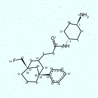 N[C@H]1CC[C@H](NC(=O)CCC2C[C@@]3(CF)CCC[C@@](c4ccccc4)(C2)C3)CC1